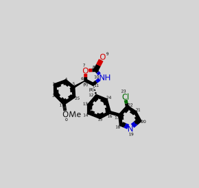 COc1cccc([C@H]2OC(=O)N[C@@H]2c2cccc(-c3cnccc3Cl)c2)c1